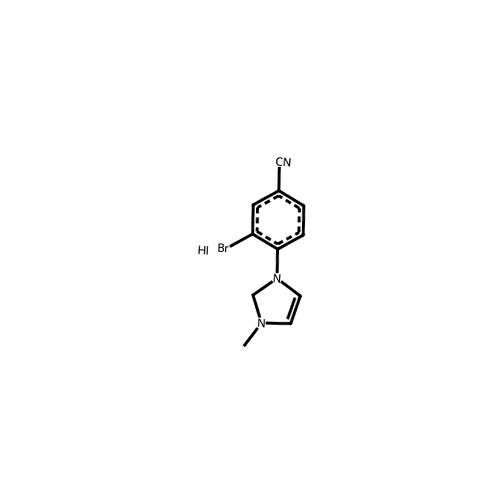 CN1C=CN(c2ccc(C#N)cc2Br)C1.I